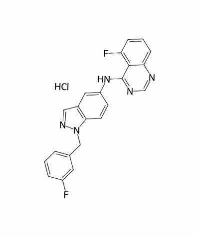 Cl.Fc1cccc(Cn2ncc3cc(Nc4ncnc5cccc(F)c45)ccc32)c1